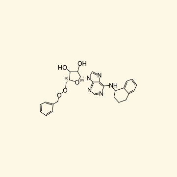 OC1C(O)[C@@H](COOCc2ccccc2)O[C@H]1n1cnc2c(NC3CCCc4ccccc43)ncnc21